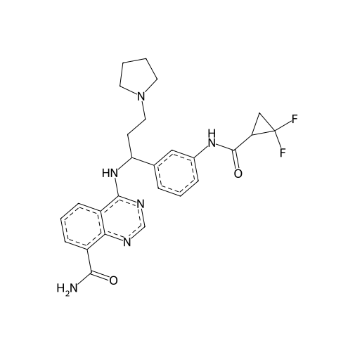 NC(=O)c1cccc2c(NC(CCN3CCCC3)c3cccc(NC(=O)C4CC4(F)F)c3)ncnc12